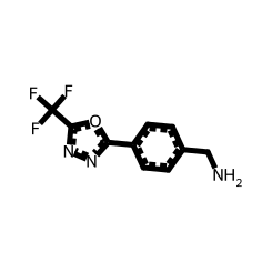 NCc1ccc(-c2nnc(C(F)(F)F)o2)cc1